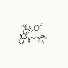 CN(C)CCCNc1nc(CN(C)S(=O)(=O)Cc2ccc(Cl)cc2)nc2ccccc12